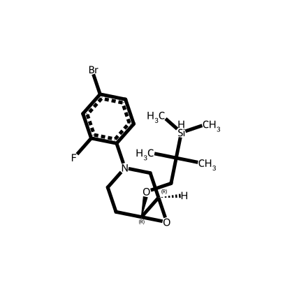 C[SiH](C)C(C)(C)CO[C@@]12CCN(c3ccc(Br)cc3F)C[C@H]1O2